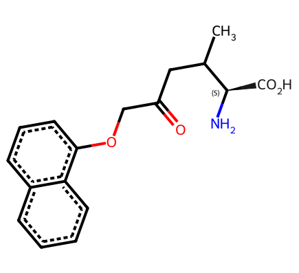 CC(CC(=O)COc1cccc2ccccc12)[C@H](N)C(=O)O